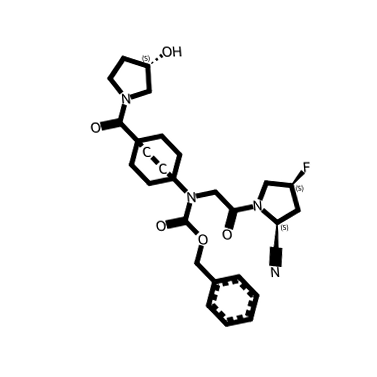 N#C[C@@H]1C[C@H](F)CN1C(=O)CN(C(=O)OCc1ccccc1)C12CCC(C(=O)N3CC[C@H](O)C3)(CC1)CC2